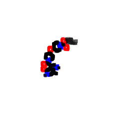 Cc1cn(C)c(=O)c2c(C(=O)N3CCC(OC4CCN(C(=O)OC(C)(C)C)CC4)CC3)cn(C)c12